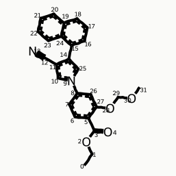 CCOC(=O)c1ccc(-n2cc(C#N)c(-c3cccc4ccccc34)c2)cc1OCOC